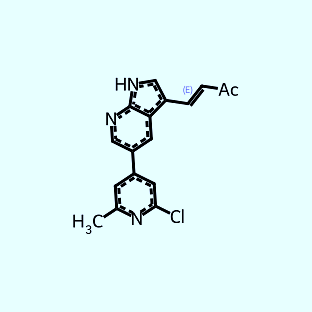 CC(=O)/C=C/c1c[nH]c2ncc(-c3cc(C)nc(Cl)c3)cc12